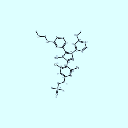 COCOc1cccc(-c2c(-c3ccnc(SC)n3)nc(-c3c(Cl)cc(OCP(C)(C)=O)cc3Cl)n2O)c1